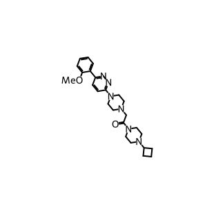 COc1ccccc1-c1ccc(N2CCN(CC(=O)N3CCN(C4CCC4)CC3)CC2)nn1